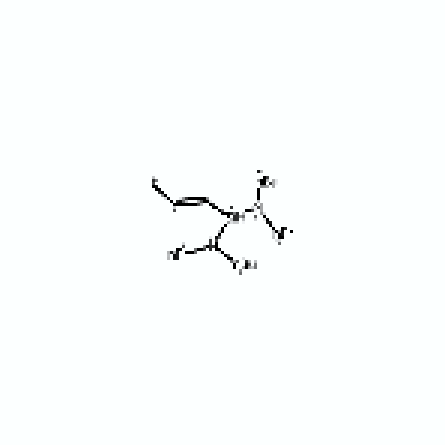 CC=C[SiH](N(CCC)CCCC)N(CCC)CCCC